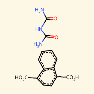 NC(=O)NC(N)=O.O=C(O)c1ccc(C(=O)O)c2ccccc12